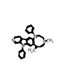 C=C1/C=C\N(C)CCN(c2ccccc2)c2cc3c4ccncc4n(-c4ccccc4)c3cc21